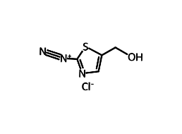 N#[N+]c1ncc(CO)s1.[Cl-]